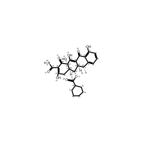 C[C@H]1c2cccc(O)c2C(=O)C2=C(O)[C@]3(O)C(=O)C(C(N)=O)=C(O)C[C@@H]3[C@@H](OC(=O)C3CCCCC3)[C@@H]21